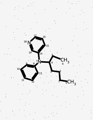 CCCCC(CC)N(c1ccccc1)c1cccnc1